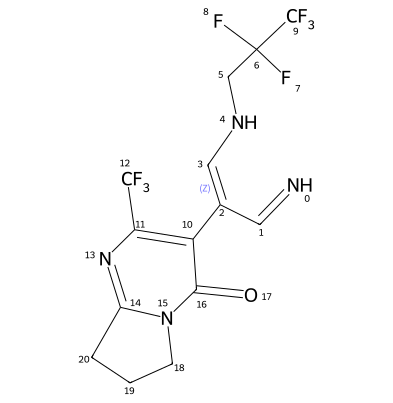 N=C/C(=C\NCC(F)(F)C(F)(F)F)c1c(C(F)(F)F)nc2n(c1=O)CCC2